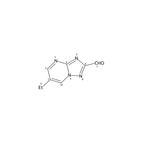 CCc1cnc2nc(C=O)nn2c1